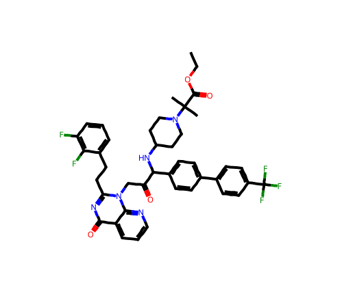 CCOC(=O)C(C)(C)N1CCC(NC(C(=O)Cn2c(CCc3cccc(F)c3F)nc(=O)c3cccnc32)c2ccc(-c3ccc(C(F)(F)F)cc3)cc2)CC1